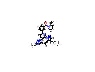 CCC[C@@H]1CCCCN1C(=O)c1cccc(-c2cccc(-n3ncc(C(=O)O)c3C3CC3c3cn(C)nn3)n2)c1